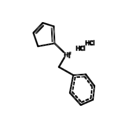 C1=CC[C]([Hf][CH2]c2ccccc2)=C1.Cl.Cl